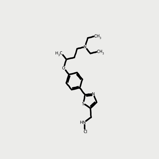 CCN(CC)CCC(C)Oc1ccc(-c2ncc(CNCl)s2)cc1